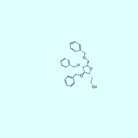 OCC[C@H]1O[C@H](COCc2ccccc2)[C@@H](OCc2ccccc2)[C@@H]1OCc1ccccc1